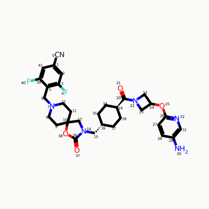 N#Cc1cc(F)c(CN2CCC3(CC2)CN(C[C@H]2CC[C@H](C(=O)N4CC(Oc5ccc(N)cn5)C4)CC2)C(=O)O3)c(F)c1